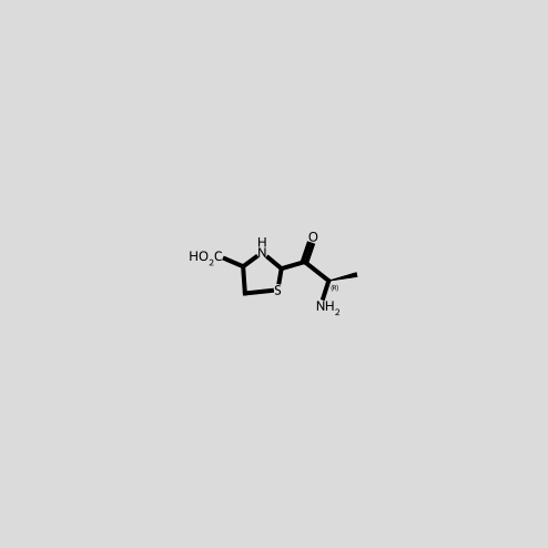 C[C@@H](N)C(=O)C1NC(C(=O)O)CS1